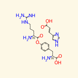 N=C(N)NCCC[C@H](N)C(=O)Oc1ccc(C[C@H](N)C(=O)O)cc1.O=C(O)C=Cc1c[nH]cn1